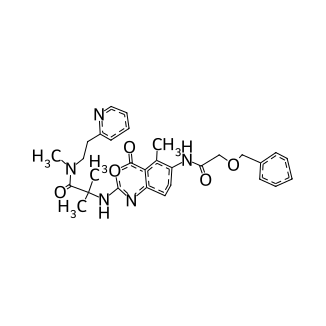 Cc1c(NC(=O)COCc2ccccc2)ccc2nc(NC(C)(C)C(=O)N(C)CCc3ccccn3)oc(=O)c12